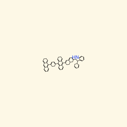 C1=CCC(C2c3ccccc3NC2C2=CC=C3C=C(c4c5c(c(C6=CC=C(c7c8c(cc9ccccc79)=CCCC=8)CC6)c6ccccc46)=CCCC=5)CCC3C2)C=C1